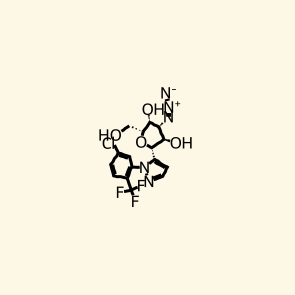 [N-]=[N+]=N[C@H]1[C@@H](O)[C@@H](CO)O[C@@H](c2ccnn2-c2cc(Cl)ccc2C(F)(F)F)[C@@H]1O